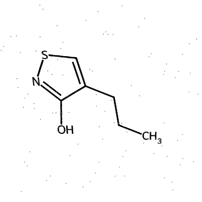 CCCc1csnc1O